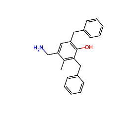 Cc1c(CN)cc(Cc2ccccc2)c(O)c1Cc1ccccc1